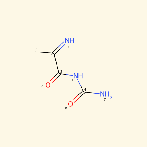 CC(=N)C(=O)NC(N)=O